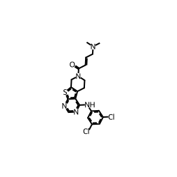 CN(C)CC=CC(=O)N1CCc2c(sc3ncnc(Nc4cc(Cl)cc(Cl)c4)c23)C1